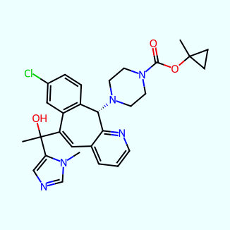 Cn1cncc1C(C)(O)C1=Cc2cccnc2[C@@H](N2CCN(C(=O)OC3(C)CC3)CC2)c2ccc(Cl)cc21